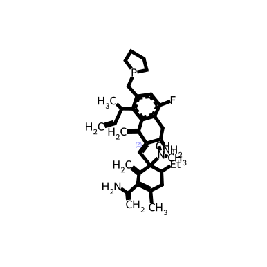 C=CC(C)c1c(CP2CCCC2)cc(F)c2c1C(=C)/C(=C/C1(N(C)C)C(=C)C(C(=C)N)=C(C)CC1CC)C(N)C2